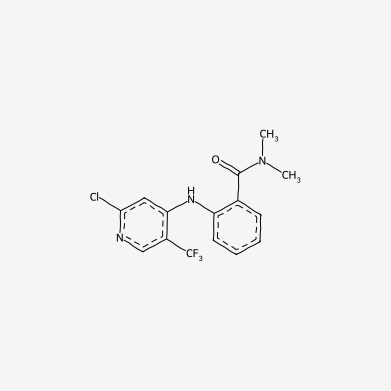 CN(C)C(=O)c1ccccc1Nc1cc(Cl)ncc1C(F)(F)F